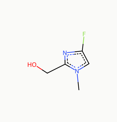 Cn1cc(F)nc1CO